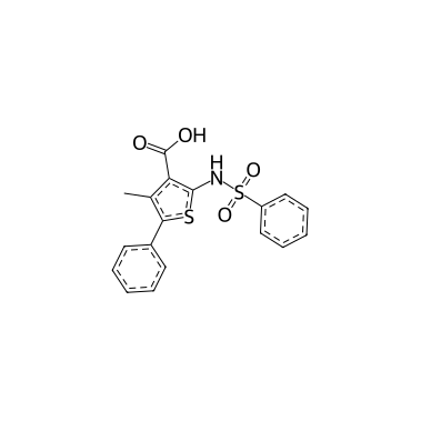 Cc1c(-c2ccccc2)sc(NS(=O)(=O)c2ccccc2)c1C(=O)O